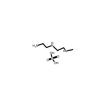 CNCCNCCN.O=S(=O)(O)O